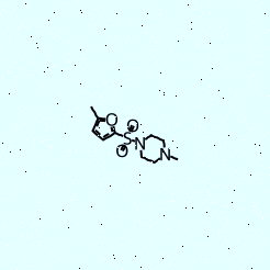 Cc1ccc(S(=O)(=O)N2CCN(C)CC2)o1